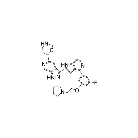 Fc1cc(OCCN2CCCC2)cc(-c2nccc3[nH]c(-c4n[nH]c5cnc(C6CCNCC6)cc45)cc23)c1